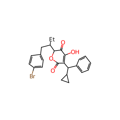 CCC(Cc1ccc(Br)cc1)C1OC(=O)C(C(c2ccccc2)C2CC2)=C(O)C1=O